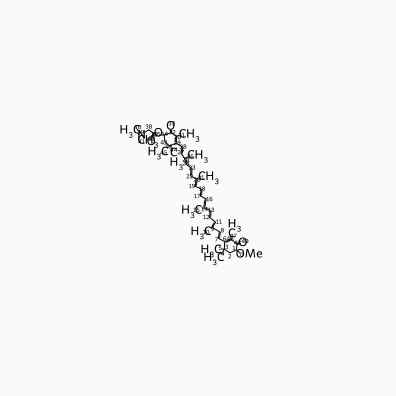 COC1CC(C)(C)C(/C=C/C(C)=C/C=C/C(C)=C/C=C/C=C(C)/C=C/C=C(C)/C=C/C2=C(C)C(=O)C(OC(=O)CN(C)C)CC2(C)C)=C(C)C1=O